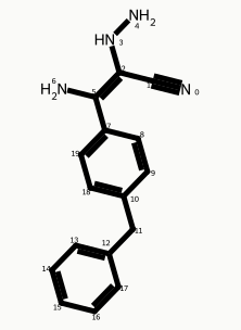 N#C/C(NN)=C(/N)c1ccc(Cc2ccccc2)cc1